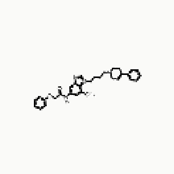 Cc1cc(NC(=O)COc2ccccc2)cc2ncn(CCCCN3CC=C(c4ccccc4)CC3)c12